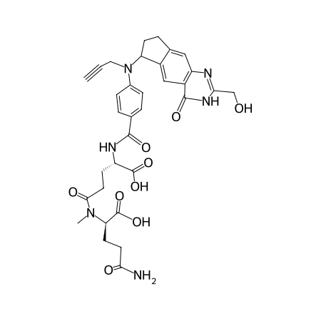 C#CCN(c1ccc(C(=O)N[C@@H](CCC(=O)N(C)[C@H](CCC(N)=O)C(=O)O)C(=O)O)cc1)C1CCc2cc3nc(CO)[nH]c(=O)c3cc21